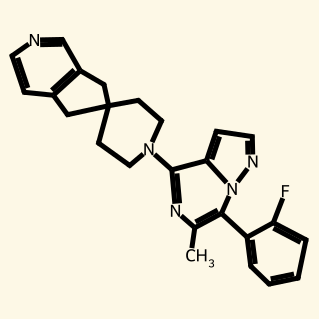 Cc1nc(N2CCC3(CC2)Cc2ccncc2C3)c2ccnn2c1-c1ccccc1F